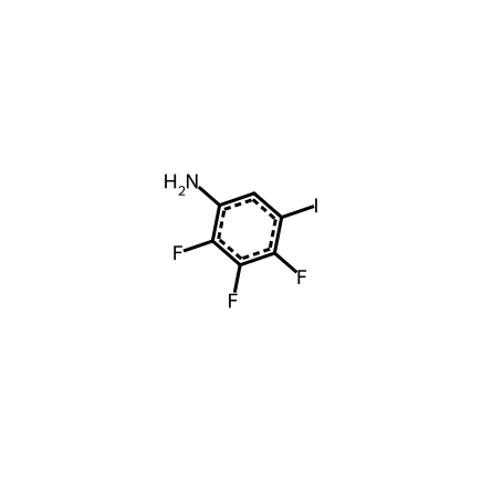 Nc1cc(I)c(F)c(F)c1F